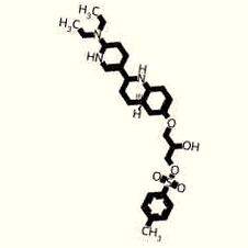 CCN(CC)C1CCC(C2CC[C@@H]3CC(OCC(O)COS(=O)(=O)c4ccc(C)cc4)=CCC3N2)=CN1